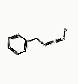 CC(=O)N=C=NCc1ccccc1